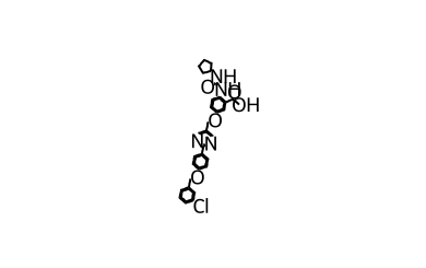 O=C(Nc1ccc(OCc2cnc(-c3ccc(OCc4cccc(Cl)c4)cc3)nc2)cc1C(=O)O)NC1CCCC1